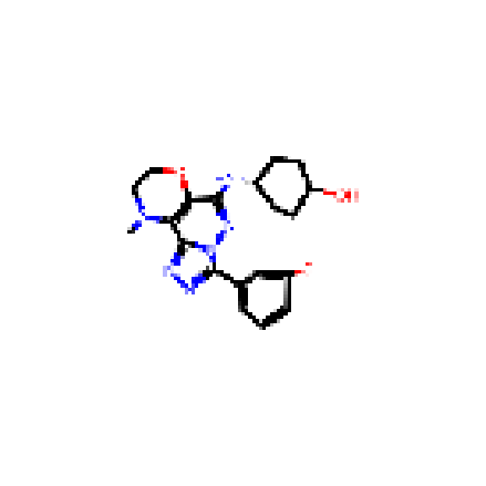 CN1CCOc2c(N[C@H]3CC[C@H](O)CC3)nn3c(-c4cccc(O)c4)nnc3c21